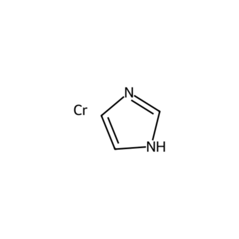 [Cr].c1c[nH]cn1